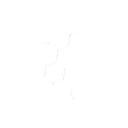 COc1cccc([C@H](N)CC(=O)O)c1